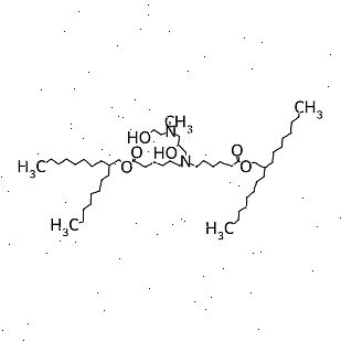 CCCCCCCCC(CCCCCCCC)COC(=O)CCCCCN(CCCCCC(=O)OCC(CCCCCCCC)CCCCCCCC)C[C@H](O)CN(C)CCO